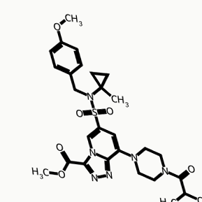 COC(=O)c1nnc2c(N3CCN(C(=O)C(C)C)CC3)cc(S(=O)(=O)N(Cc3ccc(OC)cc3)C3(C)CC3)cn12